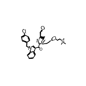 C[Si](C)(C)CCOCn1cc(C=O)nc1C(=O)c1cn(Cc2ccc(Cl)cc2)c2ccccc12